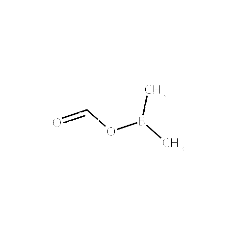 CB(C)OC=O